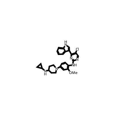 COc1cc(N2CCC(NC3CC3)CC2)ccc1Nc1ncc(Cl)c(-c2c[nH]c3ccccc23)n1